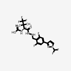 CC(C)([C@H](NC(=O)O)C(=O)NNCc1c(F)cc(-c2ccn(C(F)F)n2)cc1F)C(F)(F)F